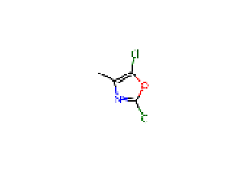 Cc1nc(Cl)oc1Cl